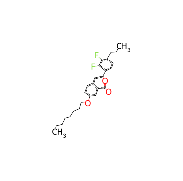 CCCCCCCCOc1ccc2cc(-c3ccc(CCC)c(F)c3F)oc(=O)c2c1